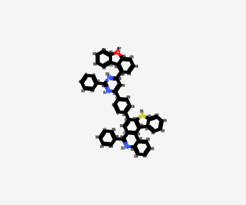 c1ccc(-c2nc(-c3ccc(-c4cc5c(-c6ccccc6)nc6ccccc6c5c5c4sc4ccccc45)cc3)cc(-c3cccc4oc5ccccc5c34)n2)cc1